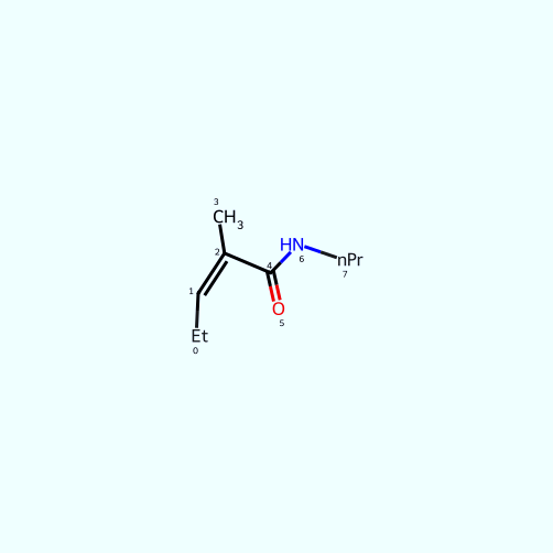 CCC=C(C)C(=O)NCCC